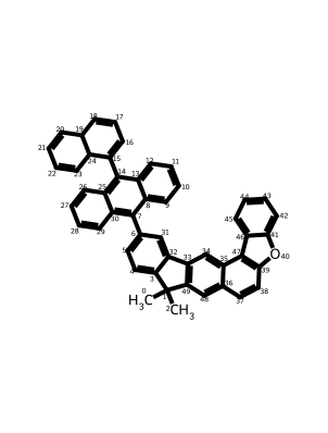 CC1(C)c2ccc(-c3c4ccccc4c(C4=CC=CC5C=CC=CC45)c4ccccc34)cc2-c2cc3c(ccc4oc5ccccc5c43)cc21